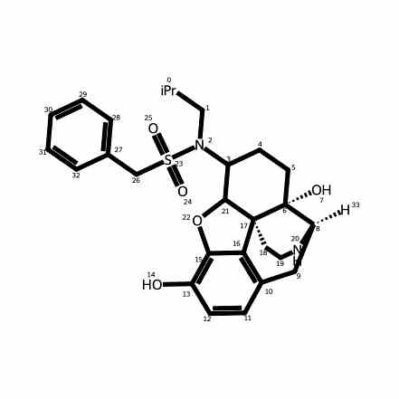 CC(C)CN(C1CC[C@@]2(O)[C@H]3Cc4ccc(O)c5c4[C@@]2(CCN3)C1O5)S(=O)(=O)Cc1ccccc1